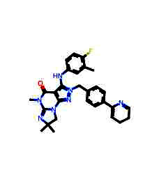 Cc1cc(Nc2c3c(nn2Cc2ccc(C4=CCCC=N4)cc2)N2CC(C)(C)N=C2N(C)C3=O)ccc1F